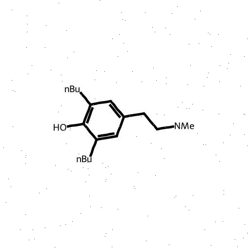 CCCCc1cc(CCNC)cc(CCCC)c1O